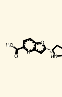 O=C(O)c1ccc2oc([C@@H]3CCCN3)cc2n1